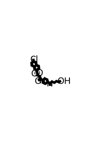 CN(CCCCO)C1CCN(C(=O)CCS(=O)(=O)c2ccc3cc(Cl)ccc3c2)CC1